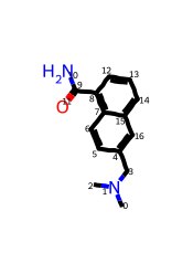 CN(C)Cc1ccc2c(C(N)=O)cccc2c1